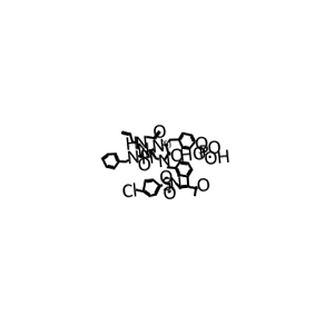 C=CCN1CC(=O)N2[C@@H](Cc3ccc(OP(=O)(O)O)cc3)C(=O)N(Cc3cccc4c(C(C)=O)cn(S(=O)(=O)c5ccc(Cl)cc5)c34)C[C@@H]2N1C(=O)NCc1ccccc1